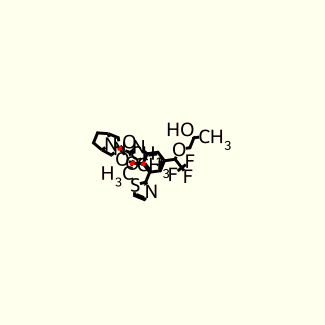 CC(O)COC(c1cc(-c2nccs2)c2oc(N3CC4CCC(C3)N4C(=O)OC(C)(C)C)nc2c1)C(F)(F)F